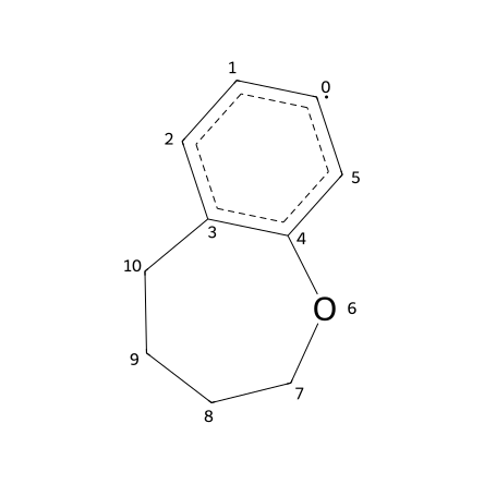 [c]1ccc2c(c1)OCCCC2